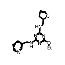 CCOc1nc(NCc2cccnc2)nc(NCC2CC=CO2)n1